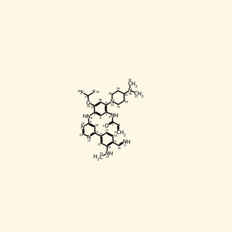 C=CC(=O)Nc1cc(Nc2cc(-c3ccc(C=N)c(NC)c3)ncn2)c(OC(F)F)cc1N1CCC(N(C)C)CC1